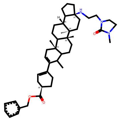 CC1C(C2=CC[C@H](C(=O)OCc3ccccc3)CC2)=CC[C@@]2(C)C1CC[C@]1(C)C2CC[C@@H]2C3CCC[C@]3(NCCN3CCN(C)C3=O)CC[C@]21C